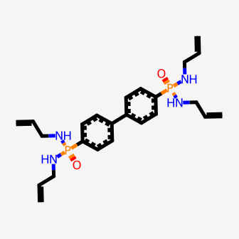 C=CCNP(=O)(NCC=C)c1ccc(-c2ccc(P(=O)(NCC=C)NCC=C)cc2)cc1